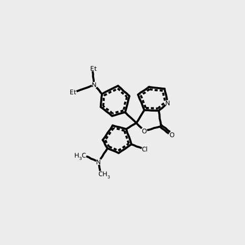 CCN(CC)c1ccc(C2(c3ccc(N(C)C)cc3Cl)OC(=O)c3ncccc32)cc1